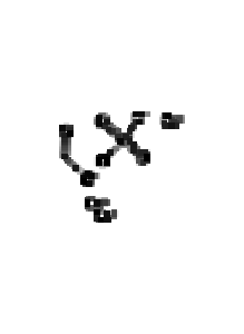 O=C[O-].[Cs+].[Cs+].[Cs+].[O]=[W](=[O])([O-])[O-]